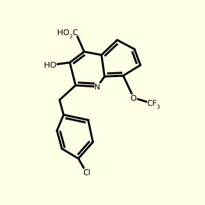 O=C(O)c1c(O)c(Cc2ccc(Cl)cc2)nc2c(OC(F)(F)F)cccc12